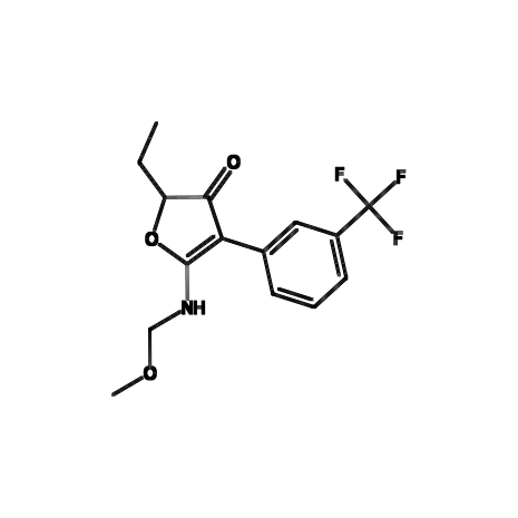 CCC1OC(NCOC)=C(c2cccc(C(F)(F)F)c2)C1=O